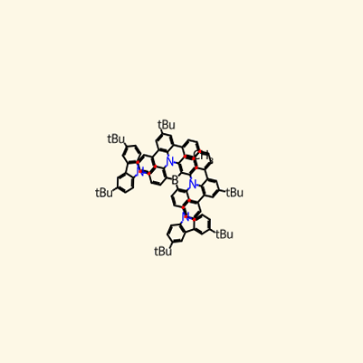 Cc1cc2c3c(c1)N(c1c(-c4ccccc4)cc(C(C)(C)C)cc1-c1ccccc1)c1cc(-n4c5ccc(C(C)(C)C)cc5c5cc(C(C)(C)C)ccc54)ccc1B3c1ccc(-n3c4ccc(C(C)(C)C)cc4c4cc(C(C)(C)C)ccc43)cc1N2c1c(-c2ccccc2)cc(C(C)(C)C)cc1-c1ccccc1